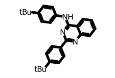 CC(C)(C)c1ccc(Nc2nc(-c3ccc(C(C)(C)C)cc3)nc3ccccc23)cc1